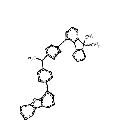 CC(c1ccc(-c2cccc3c2-c2ccccc2C3(C)C)cc1)c1ccc(-c2cccc3c2oc2ccccc23)cc1